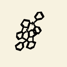 c1ccc(N(c2ccccc2)c2cccc3c2sc2c(C4(c5ccccc5)c5ccccc5-c5ccccc54)cccc23)cc1